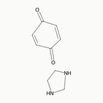 C1CNCN1.O=C1C=CC(=O)C=C1